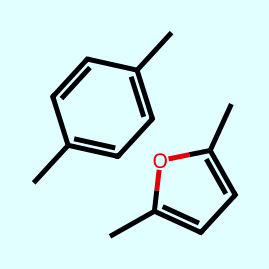 Cc1ccc(C)cc1.Cc1ccc(C)o1